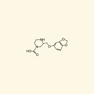 O=C(O)N1CCNC(COc2ccc3c(c2)OCO3)C1